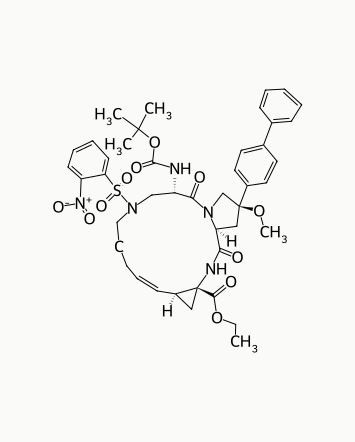 CCOC(=O)[C@@]12C[C@H]1/C=C\CCCN(S(=O)(=O)c1ccccc1[N+](=O)[O-])C[C@H](NC(=O)OC(C)(C)C)C(=O)N1C[C@](OC)(c3ccc(-c4ccccc4)cc3)C[C@H]1C(=O)N2